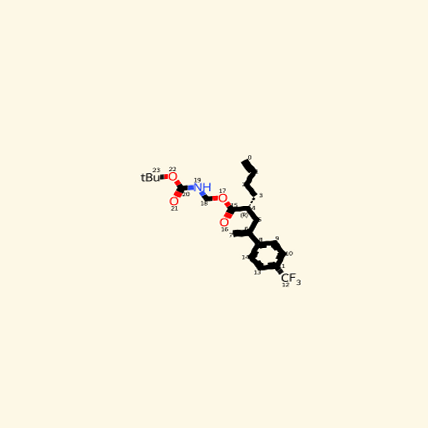 C=CCC[C@H](CC(=C)c1ccc(C(F)(F)F)cc1)C(=O)OCNC(=O)OC(C)(C)C